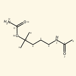 CC(=O)NCCCC(C)(C)OC(N)=O